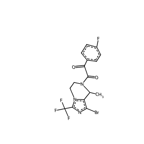 CC1c2c(Br)nc(C(F)(F)F)n2CCN1C(=O)C(=O)c1ccc(F)cc1